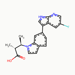 C[C@H]([C@@H](C)C(=O)O)n1ccc2ccc(-c3c[nH]c4ncc(F)cc34)cc21